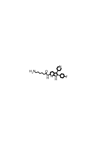 NCCCCCC(=O)Nc1ccc2c(-c3ccncc3)c(-c3ccc(F)cc3)[nH]c2n1